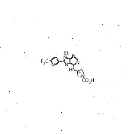 CCn1c(-c2ccc(C(F)(F)F)nc2)nc2c(N[C@H]3CCN(C(=O)O)C3)ncnc21